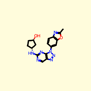 Cc1nc2ccc(-n3nnc4cnc(N[C@@H]5CC[C@@H](O)C5)nc43)cc2o1